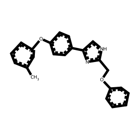 Cc1cccc(Oc2ccc(-c3c[nH]c(COc4ccccc4)n3)cc2)c1